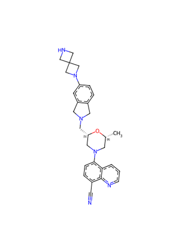 C[C@@H]1CN(c2ccc(C#N)c3ncccc23)C[C@H](CN2Cc3ccc(N4CC5(CNC5)C4)cc3C2)O1